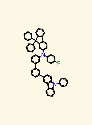 Fc1ccc(N(c2cccc(-c3cccc(-c4ccc5c(c4)c4ccccc4n5-c4ccccc4)c3)c2)c2ccc3c(c2)C(c2ccccc2)(c2ccccc2)c2ccccc2-3)cc1